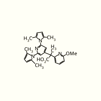 COc1cccc(C(C)(C(=O)O)c2cc(-n3c(C)ccc3C)nc(-n3c(C)ccc3C)c2)n1